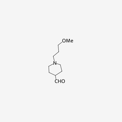 COCCCN1CCC(C=O)CC1